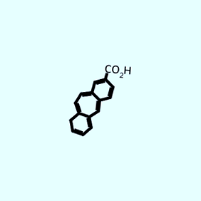 O=C(O)c1ccc2c(c1)=CC=C1CC=CC=C1C=2